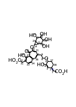 O=C(O)/C=C1/C=C(O)C(OCCc2cc(OC3C4C(O)C(O)C(O)C(O)C34)c(=O)c3c(O)c(CC(=O)O)ccc3c2)CC1